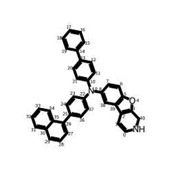 C1=Cc2c(oc3ccc(N(c4ccc(-c5ccccc5)cc4)c4ccc(-c5cccc6ccccc56)cc4)cc23)CN1